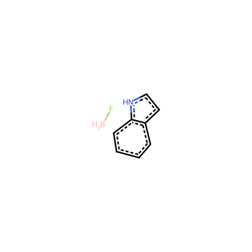 BF.c1ccc2[nH]ccc2c1